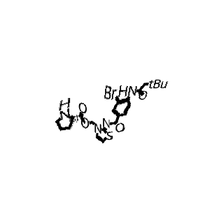 CC(C)(C)CC(=O)Nc1ccc(C(=O)N=c2sccn2COC(=O)[C@@H]2CCCN2)cc1Br